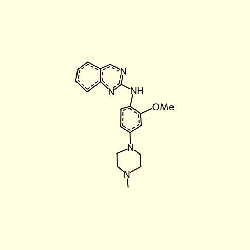 COc1cc(N2CCN(C)CC2)ccc1Nc1ncc2ccccc2n1